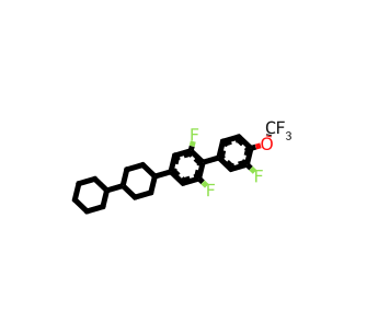 Fc1cc(-c2c(F)cc(C3CCC(C4CCCCC4)CC3)cc2F)ccc1OC(F)(F)F